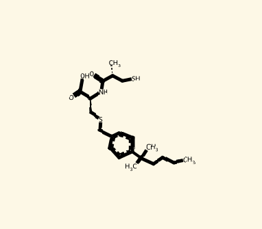 CCCCC(C)(C)c1ccc(CSC[C@H](NC(=O)[C@H](C)CS)C(=O)O)cc1